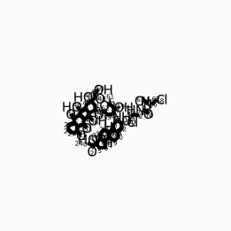 CC(=O)[C@@]1(O)CC[C@H]2[C@@H]3CCC4=CC(=O)CC[C@]4(C)[C@H]3CC[C@@]21C.COc1cccc2c1C(=O)c1c(O)c3c(c(O)c1C2=O)C[C@@](O)(C(=O)CO)C[C@@H]3O[C@H]1C[C@H](N)[C@H](O)[C@H](C)O1.O=NN(CCCl)C(=O)NCCCl